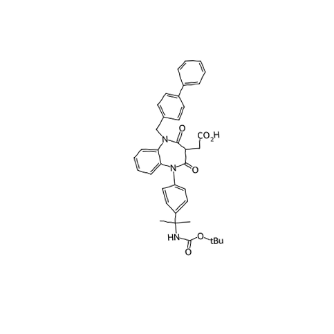 CC(C)(C)OC(=O)NC(C)(C)c1ccc(N2C(=O)C(CC(=O)O)C(=O)N(Cc3ccc(-c4ccccc4)cc3)c3ccccc32)cc1